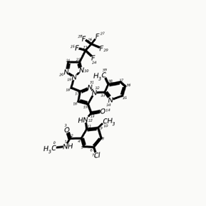 CNC(=O)c1cc(Cl)cc(C)c1NC(=O)c1cc(Cn2ncc(C(F)(F)C(F)(F)F)n2)nn1-c1ncccc1C